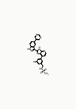 CS(=O)(=O)NCc1cc(F)cc(-c2ccnc3[nH]c(-c4n[nH]c5ccc(-c6cncnc6)cc45)nc23)c1